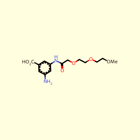 COCCOCCOCC(=O)Nc1cc(N)cc(C(=O)O)c1